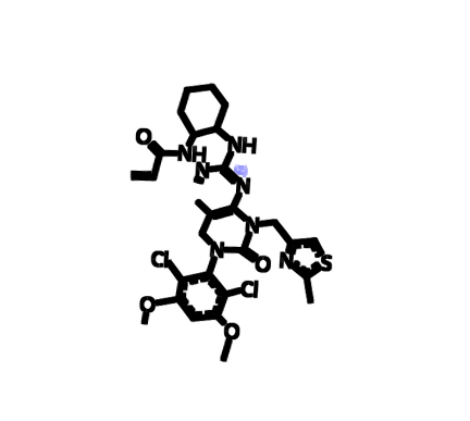 C=CC(=O)NC1CCCCC1N/C(N=C)=N/C1=C(C)CN(c2c(Cl)c(OC)cc(OC)c2Cl)C(=O)N1Cc1csc(C)n1